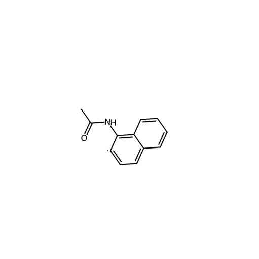 CC(=O)Nc1[c]ccc2ccccc12